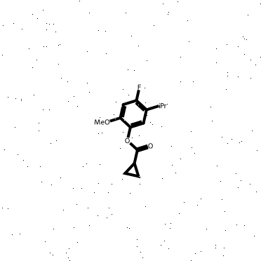 COc1cc(F)c(C(C)C)cc1OC(=O)C1CC1